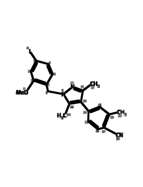 COc1cc(I)ccc1Cn1nc(C)c(-c2ccc(C#N)c(C)c2)c1C